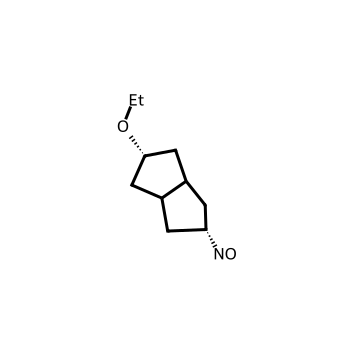 CCO[C@H]1CC2C[C@@H](N=O)CC2C1